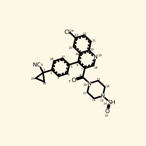 N#CC1(c2ccc(-c3c(C(=O)N4CCN([SH]=O)CC4)cnc4ccc(Cl)cc34)cc2)CC1